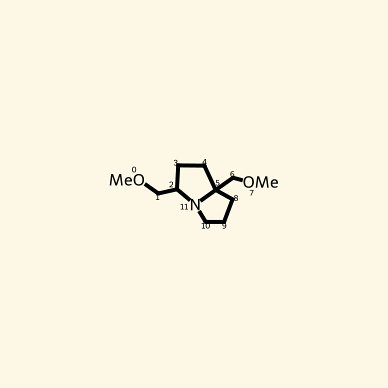 COCC1CCC2(COC)CCCN12